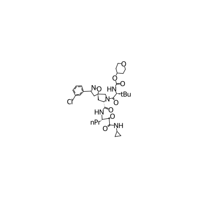 CCC[C@H](NC(=O)[C@@H]1C[C@]2(CC(c3cccc(Cl)c3)=NO2)CN1C(=O)[C@@H](NC(=O)OC1CCOCC1)C(C)(C)C)C(=O)C(=O)NC1CC1